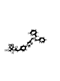 O=C(Cc1ccc(-n2cc(CN(Cc3ccccn3)Cc3ccccn3)nn2)cc1)NC(CO)(CO)CO